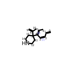 C=C/C=C\C(=C/C)C1(C(=C)C)CCNCC1